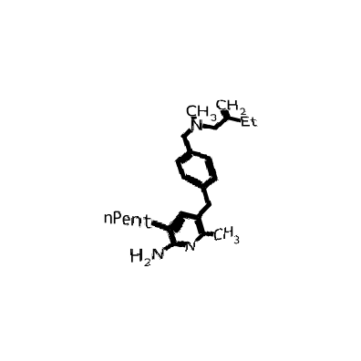 C=C(CC)CN(C)Cc1ccc(Cc2cc(CCCCC)c(N)nc2C)cc1